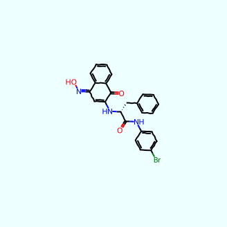 O=C1C(N[C@H](Cc2ccccc2)C(=O)Nc2ccc(Br)cc2)=C/C(=N/O)c2ccccc21